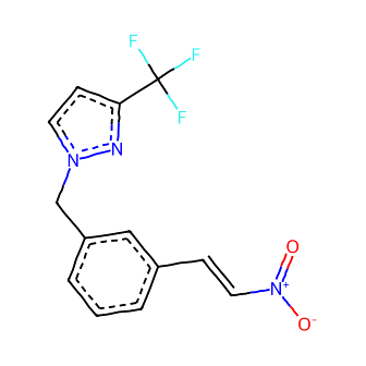 O=[N+]([O-])/C=C/c1cccc(Cn2ccc(C(F)(F)F)n2)c1